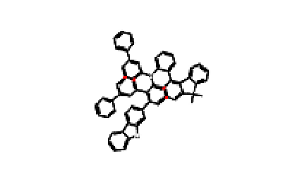 CC1(C)c2ccccc2-c2c(-c3ccccc3N(c3cccc(-c4ccccc4)c3)c3cccc(-c4ccc5c(c4)oc4ccccc45)c3-c3cccc(-c4ccccc4)c3)cccc21